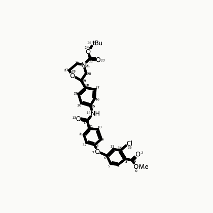 COC(=O)c1ccc(Oc2ccc(C(=O)Nc3ccc(C4CN(C(=O)OC(C)(C)C)CCO4)cc3)cc2)cc1Cl